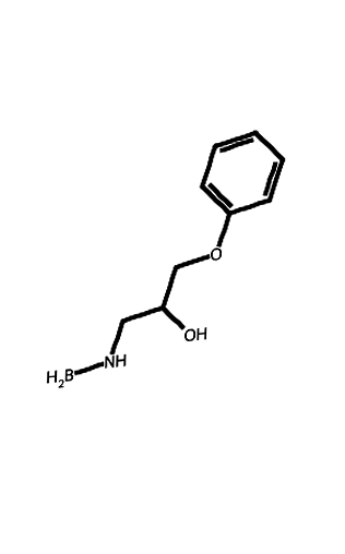 BNCC(O)COc1ccccc1